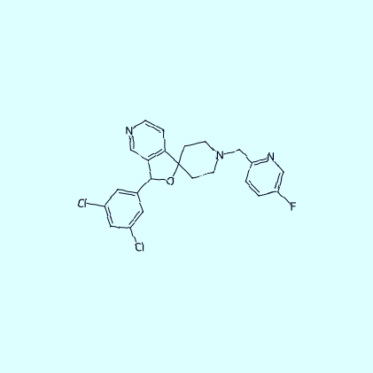 Fc1ccc(CN2CCC3(CC2)OC(c2cc(Cl)cc(Cl)c2)c2cnccc23)nc1